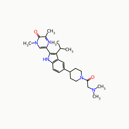 Cc1nc(-c2[nH]c3ccc(C4CCN(C(=O)CN(C)C)CC4)cc3c2C(C)C)cn(C)c1=O